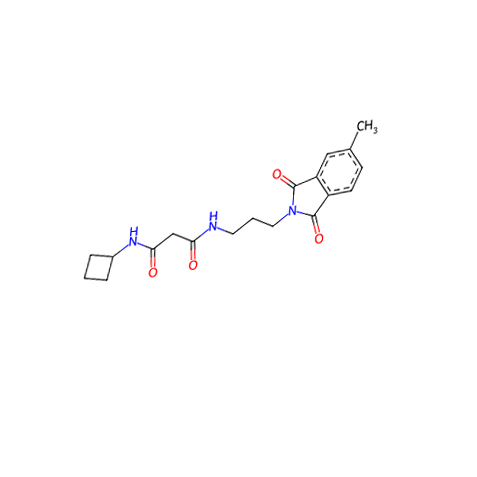 Cc1ccc2c(c1)C(=O)N(CCCNC(=O)CC(=O)NC1CCC1)C2=O